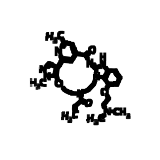 C=CC(=O)N1CCOc2c(cnn2C)-c2cc(cc(C)n2)C(=O)/N=C2\Nc3cccc(OCCN(C)C)c3N2CC1